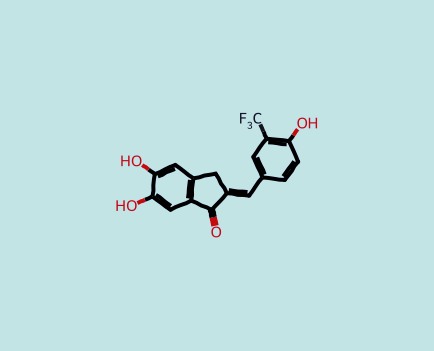 O=C1/C(=C/c2ccc(O)c(C(F)(F)F)c2)Cc2cc(O)c(O)cc21